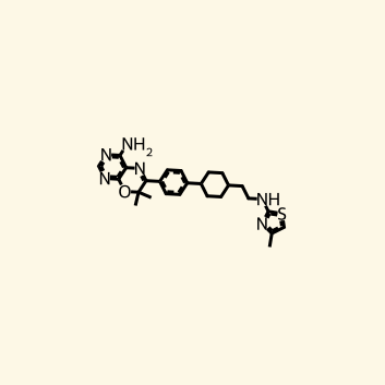 Cc1csc(NCCC2CCC(c3ccc(C4=Nc5c(N)ncnc5OC4(C)C)cc3)CC2)n1